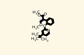 CO/C=C(/C(=O)OC)c1ccccc1Oc1cc(C(C)(C)C)ccn1